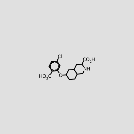 O=C(O)c1ccc(Cl)cc1OC1CCC2CNC(C(=O)O)CC2C1